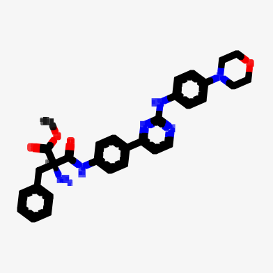 CC(C)(C)OC(=O)[C@@](N)(Cc1ccccc1)C(=O)Nc1ccc(-c2ccnc(Nc3ccc(N4CCOCC4)cc3)n2)cc1